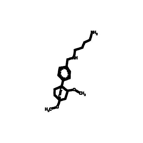 COC1CC2(OC)CCC1(c1ccc(CN[CH]CCCN)cc1)CC2